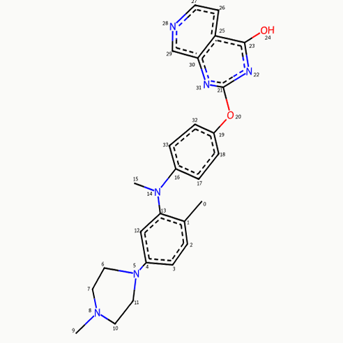 Cc1ccc(N2CCN(C)CC2)cc1N(C)c1ccc(Oc2nc(O)c3ccncc3n2)cc1